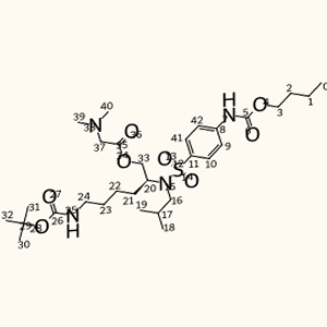 CCCCOC(=O)Nc1ccc(S(=O)(=O)N(CC(C)C)[C@@H](CCCCNC(=O)OC(C)(C)C)COC(=O)CN(C)C)cc1